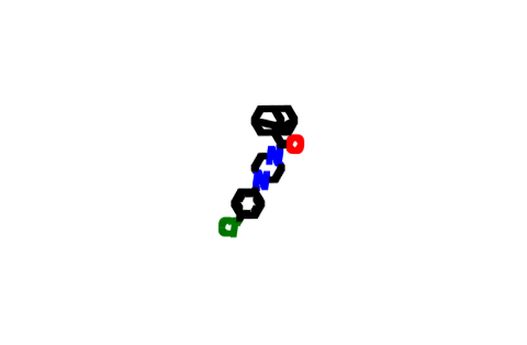 O=C(N1CCN(c2ccc(Cl)cc2)CC1)C12CC3CC(CC(C3)C1)C2